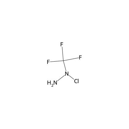 NN(Cl)C(F)(F)F